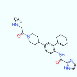 CNCC(=O)N1CCC(c2ccc(NC(=O)c3ncc[nH]3)c(C3=CCCCC3)c2)CC1